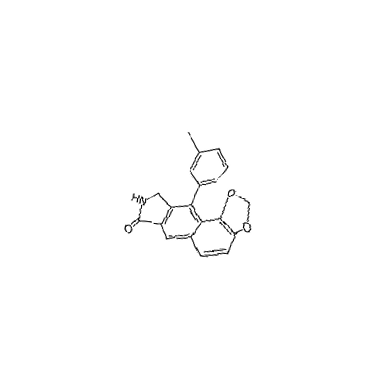 Cc1cccc(-c2c3c(cc4ccc5c(c24)OCO5)C(=O)NC3)c1